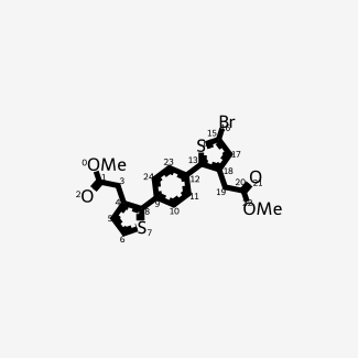 COC(=O)Cc1ccsc1-c1ccc(-c2sc(Br)cc2CC(=O)OC)cc1